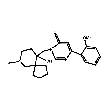 COc1ccccc1-c1cc(=O)n(CC2(O)CCN(C)CC23CCCC3)cn1